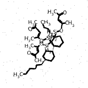 CCCCCC[C@H]1CC[C@H](C2CCCC(OCCC)([SiH2]OC(C)=CC(C)=O)C2([SiH2]OC(C)=CC(C)=O)[SiH2]OC(C)=CC(C)=O)CC1